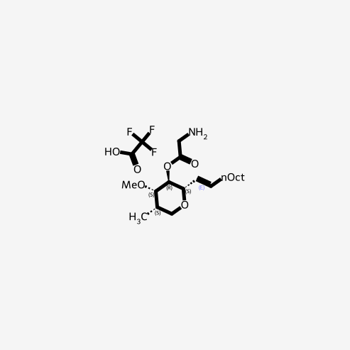 CCCCCCCC/C=C/[C@@H]1OC[C@H](C)[C@H](OC)[C@H]1OC(=O)CN.O=C(O)C(F)(F)F